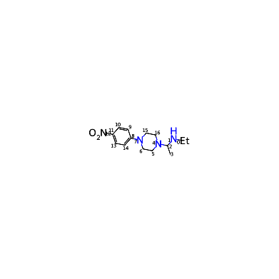 CCNC(C)N1CCN(c2ccc([N+](=O)[O-])cc2)CC1